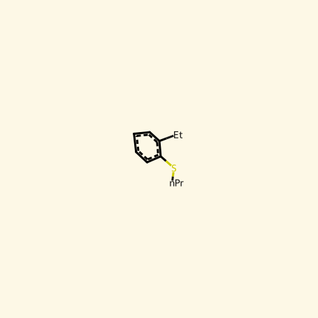 CCCSc1ccccc1CC